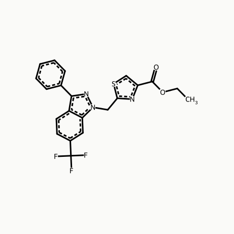 CCOC(=O)c1csc(Cn2nc(-c3ccccc3)c3ccc(C(F)(F)F)cc32)n1